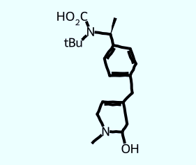 C[C@@H](c1ccc(CC2=CCN(C)C(O)C2)cc1)N(C(=O)O)C(C)(C)C